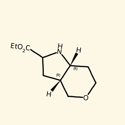 CCOC(=O)C1C[C@H]2COCC[C@H]2N1